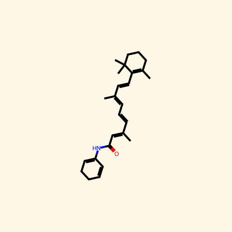 CC(C=CC1=C(C)CCCC1(C)C)=CC=CC(C)=CC(=O)NC1=CCCC=C1